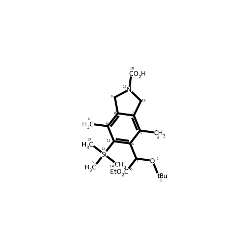 CCOC(=O)C(OC(C)(C)C)c1c(C)c2c(c(C)c1[Si](C)(C)C)CN(C(=O)O)C2